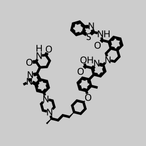 Cc1c(O[C@H]2CC[C@H](CCC[C@@H](C)N3CCN(c4ccc5c(C6CCC(=O)NC6=O)nn(C)c5c4)CC3)CC2)cccc1-c1ccc(N2CCc3cccc(C(=O)Nc4nc5ccccc5s4)c3C2)nc1C(=O)O